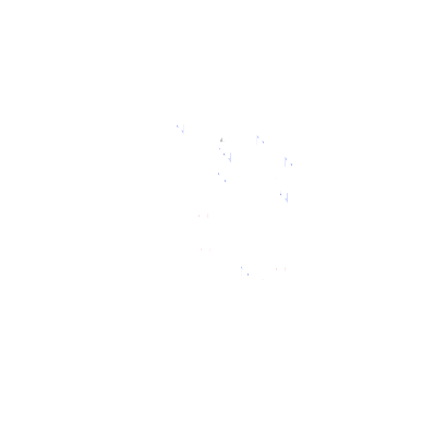 CC=CN1CCC[C@@H](n2nc(-c3ccc(NC(=O)Cc4ccccc4)c4c3OCO4)c3c(N)ncnc32)C1